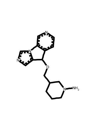 NN1CCCC(COC2c3ccncc3-n3cncc32)C1